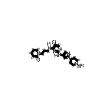 CC(C)N1CCC(n2cc(Nc3ncc(Cl)c(NCCCN4CCCCC4=O)n3)cn2)CC1